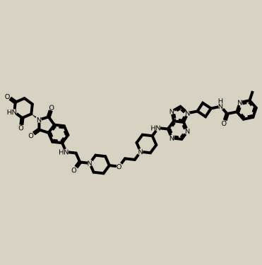 Cc1cccc(C(=O)NC2CC(n3cnc4c(NC5CCN(CCOC6CCN(C(=O)CNc7ccc8c(c7)C(=O)N([C@H]7CCC(=O)NC7=O)C8=O)CC6)CC5)ncnc43)C2)n1